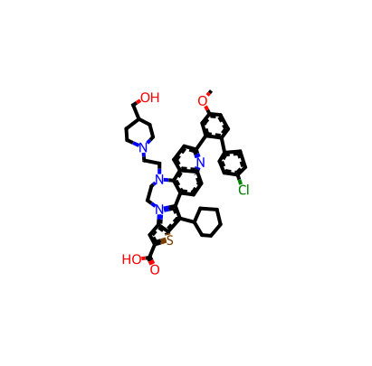 COc1ccc(-c2ccc(Cl)cc2)c(-c2ccc3c4c(ccc3n2)-c2c(C3CCCCC3)c3sc(C(=O)O)cc3n2CCN4CCN2CCC(CO)CC2)c1